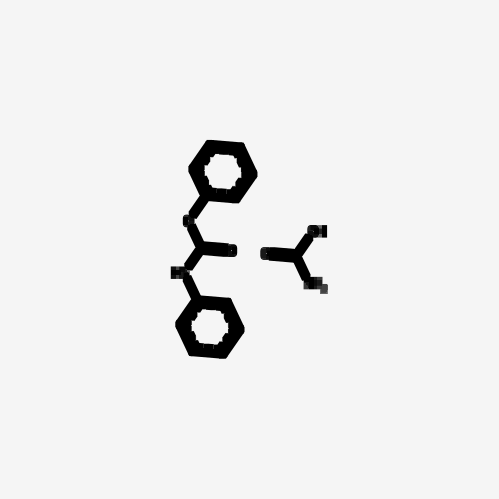 NC(=O)O.O=C(Nc1ccccc1)Oc1ccccc1